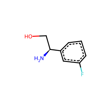 N[C@@H](CO)c1cccc(F)c1